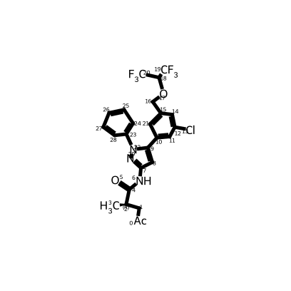 CC(=O)C[C@@H](C)C(=O)Nc1cc(-c2cc(Cl)cc(COC(C(F)(F)F)C(F)(F)F)c2)n(-c2ccccc2)n1